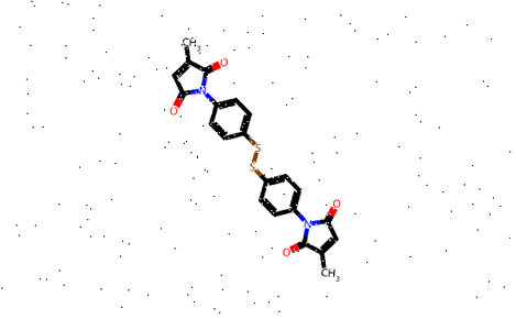 CC1=CC(=O)N(c2ccc(SSc3ccc(N4C(=O)C=C(C)C4=O)cc3)cc2)C1=O